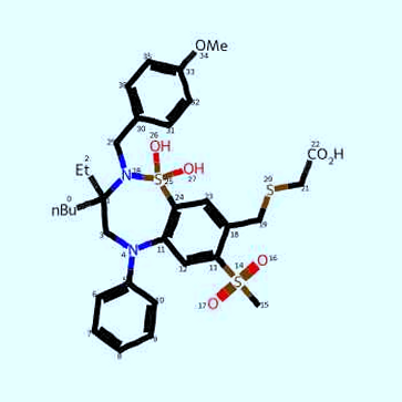 CCCCC1(CC)CN(c2ccccc2)c2cc(S(C)(=O)=O)c(CSCC(=O)O)cc2S(O)(O)N1Cc1ccc(OC)cc1